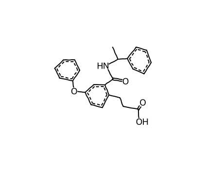 CC(NC(=O)c1cc(Oc2ccccc2)ccc1CCC(=O)O)c1ccccc1